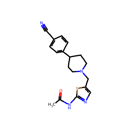 CC(=O)Nc1ncc(CN2CCC(c3ccc(C#N)cc3)CC2)s1